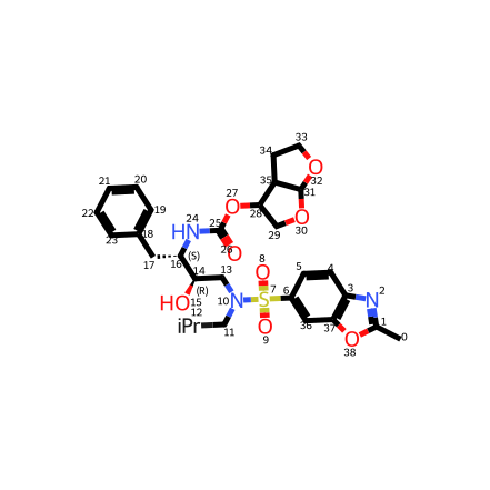 Cc1nc2ccc(S(=O)(=O)N(CC(C)C)C[C@@H](O)[C@H](Cc3ccccc3)NC(=O)OC3COC4OCCC34)cc2o1